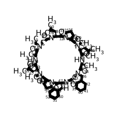 CCN1CC(=O)N[C@@H](CC(C)C)C(=O)N2CCC[C@@H]2C(=O)N(C)[C@@H](CC(C)C)C(=O)N[C@@H](C)C(=O)N(CC2CCCCC2)CC(=O)N[C@@H](Cc2ccccc2)C(=O)N2CCC[C@@H]2C(=O)N(C)[C@@H](CC(C)C)C(=O)N[C@@H](C)C1=O